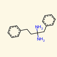 NC(N)(CCc1ccccc1)Cc1ccccc1